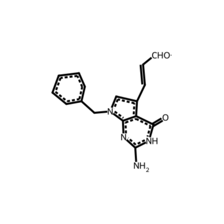 Nc1nc2c(c(C=C[C]=O)cn2Cc2ccccc2)c(=O)[nH]1